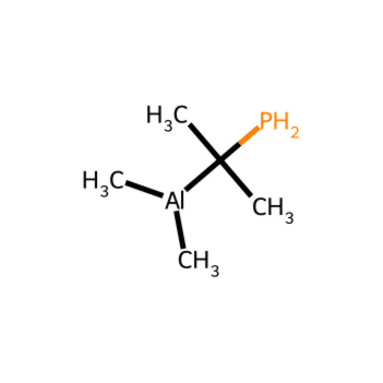 [CH3][Al]([CH3])[C](C)(C)P